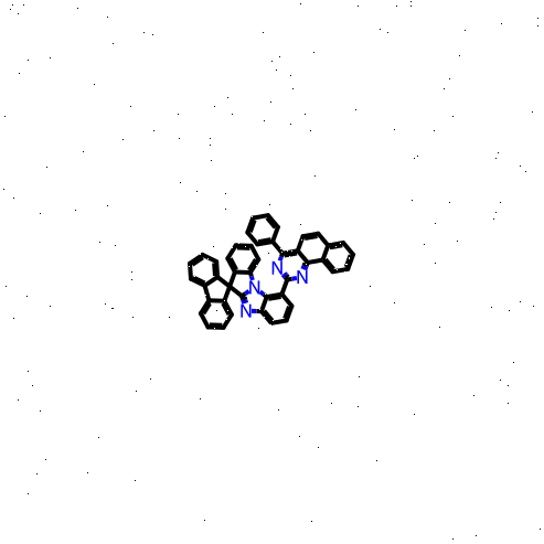 c1ccc(-c2nc(-c3cccc4nc5n(c34)-c3ccccc3C53c4ccccc4-c4ccccc43)nc3c2ccc2ccccc23)cc1